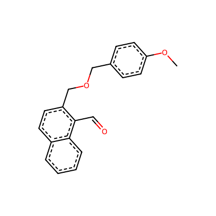 COc1ccc(COCc2ccc3ccccc3c2C=O)cc1